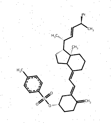 C=C1CC[C@H](OS(=O)(=O)c2ccc(C)cc2)CC1=CC=C1CCC[C@@]2(C)C1CC[C@@H]2[C@H](C)C=C[C@H](C)C(C)C